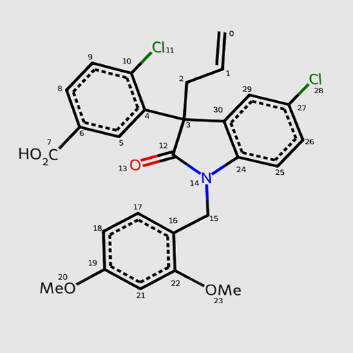 C=CCC1(c2cc(C(=O)O)ccc2Cl)C(=O)N(Cc2ccc(OC)cc2OC)c2ccc(Cl)cc21